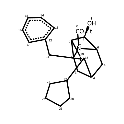 CCOC(=O)N1C2CC3CC1[C@H](O)C2N(Cc1ccccc1)C3C1CCCC1